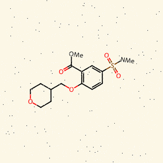 CNS(=O)(=O)c1ccc(OCC2CCOCC2)c(C(=O)OC)c1